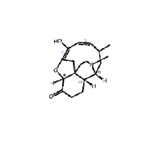 CC1/C=C\C(O)=C2/CC34CCN(C)[C@H](C1)[C@@H]3CCC(=O)[C@@H]4O2